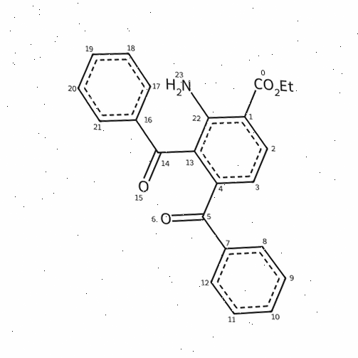 CCOC(=O)c1ccc(C(=O)c2ccccc2)c(C(=O)c2ccccc2)c1N